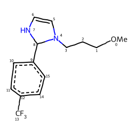 COCCCN1C=CNC1c1ccc(C(F)(F)F)cc1